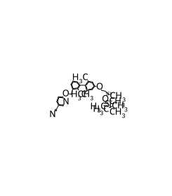 Cc1cc(OCC[C@H](C)O[Si](C)(C)C(C)(C)C)cc(C)c1-c1cccc(COc2ccc(C#N)cn2)c1C